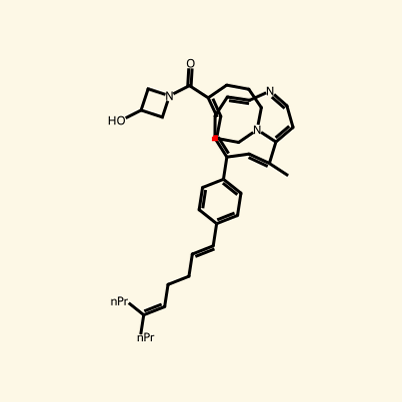 CCCC(=CCC/C=C/c1ccc(C2=C/C/C=C/N=C\C=C(N3CC/C=C(\C(=O)N4CC(O)C4)CCC3)\C(C)=C\2)cc1)CCC